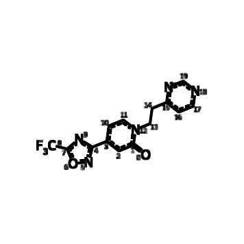 O=c1cc(-c2noc(C(F)(F)F)n2)ccn1CCc1ccncn1